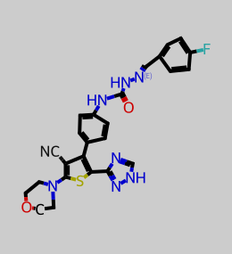 N#Cc1c(N2CCOCC2)sc(-c2nc[nH]n2)c1-c1ccc(NC(=O)N/N=C/c2ccc(F)cc2)cc1